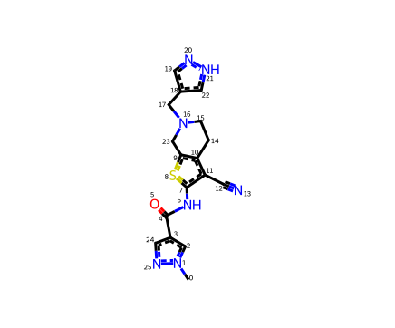 Cn1cc(C(=O)Nc2sc3c(c2C#N)CCN(Cc2cn[nH]c2)C3)cn1